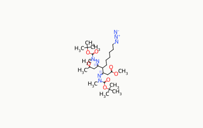 COC(=O)C/C(=N\N(C)C(=O)OC(C)(C)C)C(CCCCCCN=[N+]=[N-])/C(CC(C)=O)=N/N(C)C(=O)OC(C)(C)C